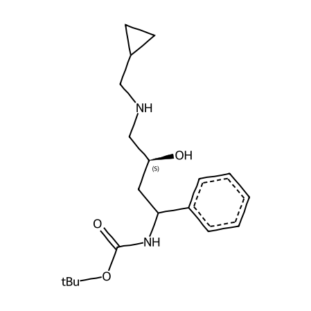 CC(C)(C)OC(=O)NC(C[C@H](O)CNCC1CC1)c1ccccc1